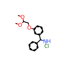 COC(COc1cccc(C(NCl)c2ccccc2)c1)OC